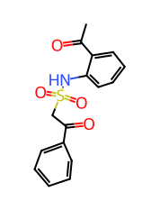 CC(=O)c1ccccc1NS(=O)(=O)CC(=O)c1ccccc1